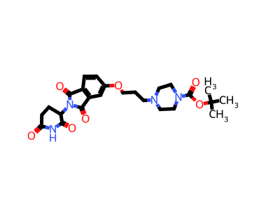 CC(C)(C)OC(=O)N1CCN(CCCOc2ccc3c(c2)C(=O)N(C2CCC(=O)NC2=O)C3=O)CC1